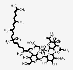 C=C(C/C=C(\C)CCC=C(C)C)CCC(C)(C)/C=C/CC/C(C)=C\CO[C@H](COP(=O)(O)OC1OC(C(N)=O)C(C)(O)C(OC(N)=O)C1OC1OC(COC2OC(CO)C(O)C(O)C2O)C(O)C(O)C1NC(C)=O)C(=O)O